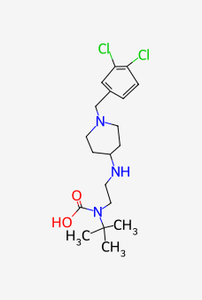 CC(C)(C)N(CCNC1CCN(Cc2ccc(Cl)c(Cl)c2)CC1)C(=O)O